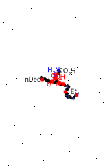 CC/C=C\C/C=C\C/C=C\C/C=C\C/C=C\CCCC(=O)OC(COC(=O)CCCCCCCCCCCCCCC)COP(=O)(O)OCC(N)C(=O)O